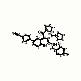 N#Cc1ccc(-c2ccc3nc(NCc4ccc(F)cc4Cl)cc(C(=O)N4CCC[C@H]4CN4CCCC4)c3c2)cc1